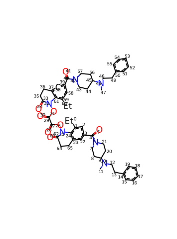 CCc1cc(C(=O)N2CCC(N(C)CCc3ccccc3)CC2)cc2c1N(OC(=O)C(=O)ON1C(=O)CCc3cc(C(=O)N4CCC(N(C)CCc5ccccc5)CC4)cc(CC)c31)C(=O)CC2